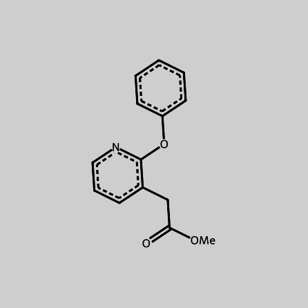 COC(=O)Cc1cccnc1Oc1ccccc1